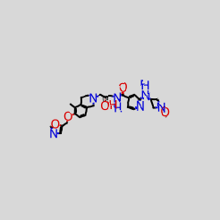 CON1CC(Nc2cc(C(=O)NC[C@H](O)CN3CCc4c(ccc(OCc5cnco5)c4C)C3)ccn2)C1